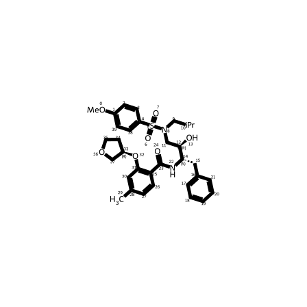 COc1ccc(S(=O)(=O)N(CC(C)C)C[C@@H](O)[C@H](Cc2ccccc2)NC(=O)c2ccc(C)cc2O[C@@H]2CCOC2)cc1